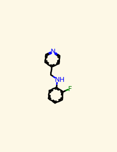 Fc1ccccc1NCc1ccncc1